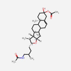 CC(=O)NCC(C)CC[C@H]1O[C@H]2CC3C4CC=C5CC(O)(OC(C)=O)CC[C@]5(C)C4CC[C@]3(C)[C@H]2[C@@H]1C